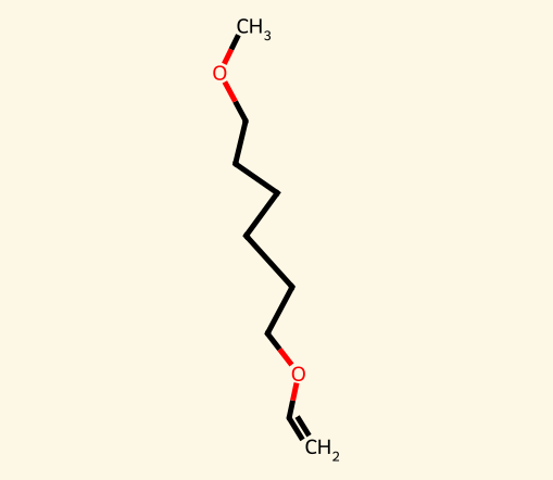 C=COCCCCCCOC